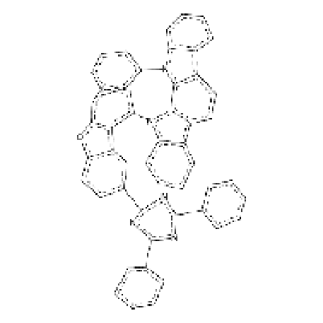 c1ccc(-c2nc(-c3ccccc3)nc(-c3ccc4oc5cccc(-n6c7ccccc7c7ccc8c9ccccc9n(-c9ccccc9)c8c76)c5c4c3)n2)cc1